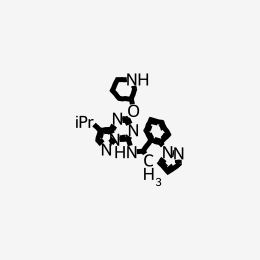 CC(C)c1cnn2c(NC(C)c3ccccc3-n3cccn3)nc(OC3CCCNC3)nc12